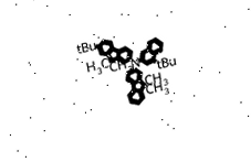 CC(C)(C)c1ccc2c(c1)C(C)(C)c1cc(N(c3ccc4c(c3)C(C)(C)c3ccccc3-4)c3cc(C(C)(C)C)c4ccccc4c3)ccc1-2